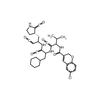 CC(C)C(NC(=O)C1=Cc2cc(Cl)ccc2OC1)C(=C=O)NC(CC1CCCCC1)C(=C=O)NC(C=C=O)C[C@@H]1CCNC1=C=O